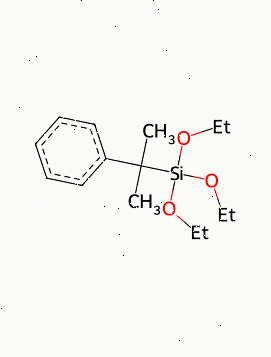 CCO[Si](OCC)(OCC)C(C)(C)c1ccccc1